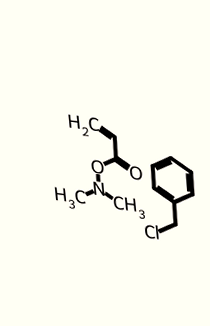 C=CC(=O)ON(C)C.ClCc1ccccc1